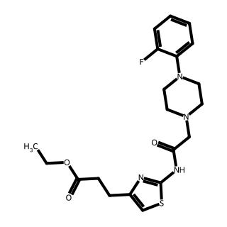 CCOC(=O)CCc1csc(NC(=O)CN2CCN(c3ccccc3F)CC2)n1